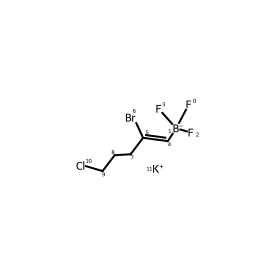 F[B-](F)(F)/C=C(\Br)CCCCl.[K+]